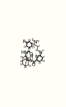 CN(C)CCCN(C)c1cccc(C(=O)NC23CC4CC(CC(NC(=O)c5cccc(F)c5)(C4)C2)C3)n1